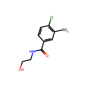 O=C(NCCO)c1ccc(Cl)c([N+](=O)[O-])c1